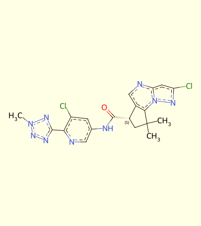 Cn1nnc(-c2ncc(NC(=O)[C@H]3CC(C)(C)c4c3cnc3cc(Cl)nn43)cc2Cl)n1